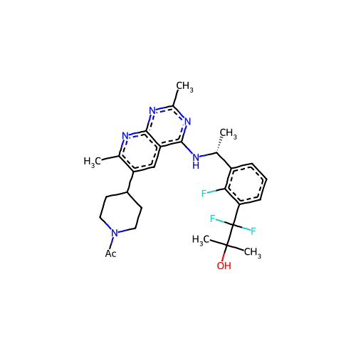 CC(=O)N1CCC(c2cc3c(N[C@H](C)c4cccc(C(F)(F)C(C)(C)O)c4F)nc(C)nc3nc2C)CC1